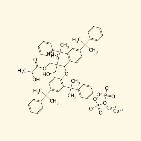 CC(O)C(=O)OCC(CO)(CO)C(Oc1ccc(C(C)(C)c2ccccc2)cc1C(C)(C)c1ccccc1)c1ccc(C(C)(C)c2ccccc2)cc1C(C)(C)c1ccccc1.O=P([O-])([O-])OP(=O)([O-])[O-].[Ca+2].[Ca+2]